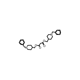 O=C(CC(=O)OCC1CCN(Cc2ccccc2)CC1)OCC1CCN(Cc2ccccc2)CC1